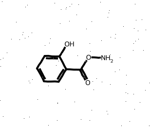 NOC(=O)c1ccccc1O